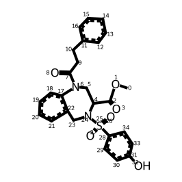 COC(=O)C1CN(C(=O)CCc2ccccc2)c2ccccc2CN1S(=O)(=O)c1ccc(O)cc1